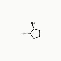 [NH][C@H]1CCC[C@@H]1O